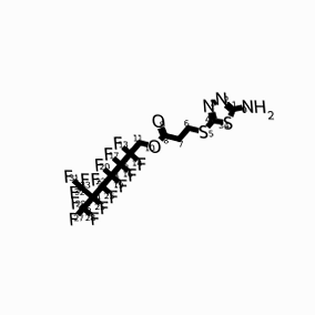 Nc1nnc(SCCC(=O)OCC(F)(F)C(F)(F)C(F)(F)C(F)(F)C(F)(C(F)(F)F)C(F)(F)F)s1